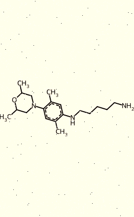 Cc1cc(N2CC(C)OC(C)C2)c(C)cc1NCCCCCN